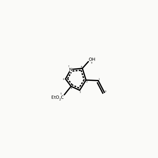 C=Cc1cc(C(=O)OCC)cnc1O